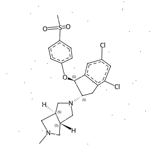 CN1C[C@H]2CN([C@H]3Cc4c(Cl)cc(Cl)cc4[C@@H]3Oc3ccc(S(C)(=O)=O)cc3)C[C@@H]2C1